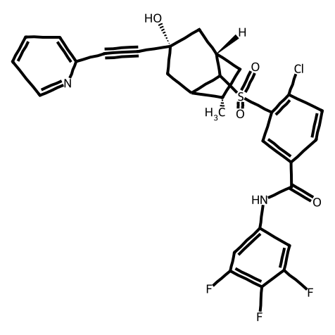 C[C@H]1C[C@H]2C[C@](O)(C#Cc3ccccn3)CC1C2S(=O)(=O)c1cc(C(=O)Nc2cc(F)c(F)c(F)c2)ccc1Cl